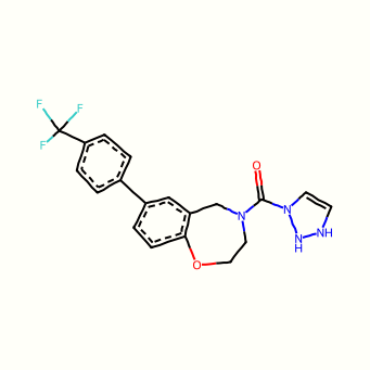 O=C(N1CCOc2ccc(-c3ccc(C(F)(F)F)cc3)cc2C1)N1C=CNN1